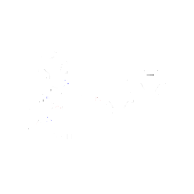 O=C(O)CN1C(=O)S/C(=C/c2cn(CCCOc3cccc(Cc4ccccc4)c3)c3ccccc23)C1=O